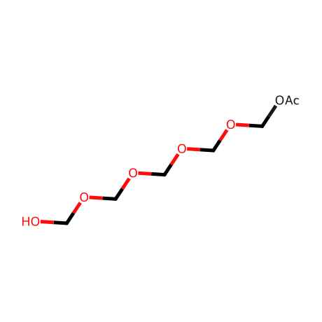 CC(=O)OCOCOCOCOCO